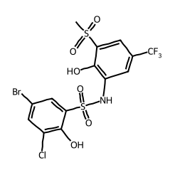 CS(=O)(=O)c1cc(C(F)(F)F)cc(NS(=O)(=O)c2cc(Br)cc(Cl)c2O)c1O